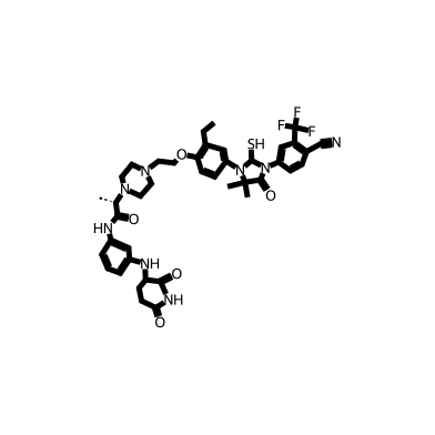 CCc1cc(N2C(S)N(c3ccc(C#N)c(C(F)(F)F)c3)C(=O)C2(C)C)ccc1OCCN1CCN([C@@H](C)C(=O)Nc2cccc(NC3CCC(=O)NC3=O)c2)CC1